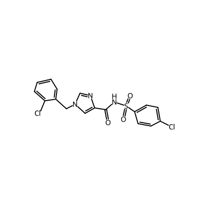 O=C(NS(=O)(=O)c1ccc(Cl)cc1)c1cn(Cc2ccccc2Cl)cn1